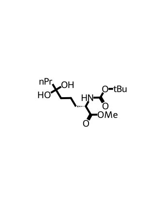 CCCC(O)(O)CCC[C@H](NC(=O)OC(C)(C)C)C(=O)OC